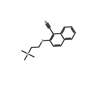 C[Si](C)(C)CCSc1ccc2ccccc2c1C#N